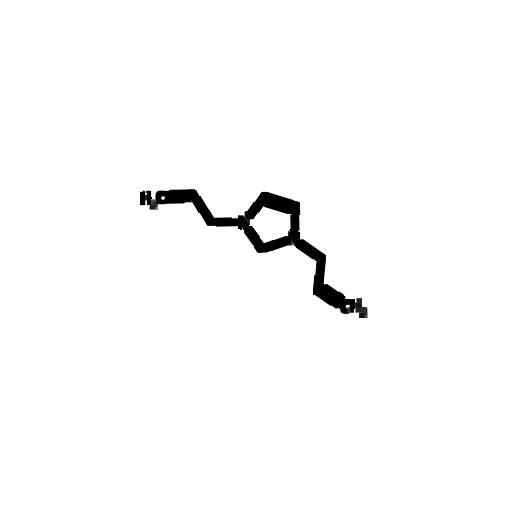 C=CCN1C=CN(CC=C)C1